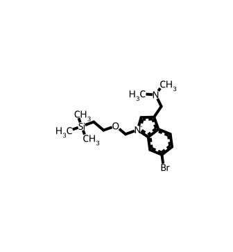 CN(C)Cc1cn(COCC[Si](C)(C)C)c2cc(Br)ccc12